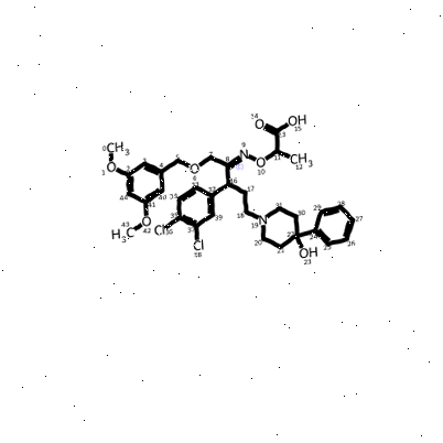 COc1cc(COC/C(=N/OC(C)C(=O)O)C(CCN2CCC(O)(c3ccccc3)CC2)c2ccc(Cl)c(Cl)c2)cc(OC)c1